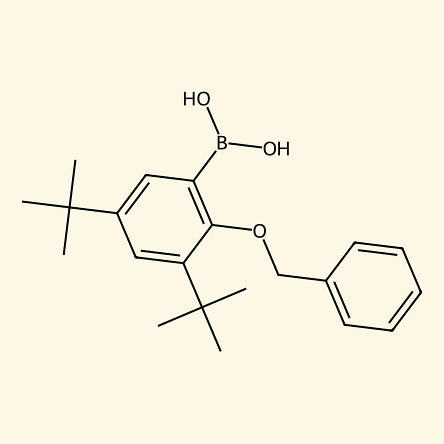 CC(C)(C)c1cc(B(O)O)c(OCc2ccccc2)c(C(C)(C)C)c1